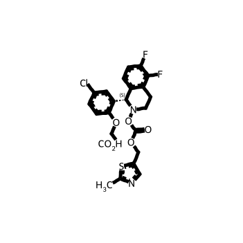 Cc1ncc(COC(=O)ON2CCc3c(ccc(F)c3F)[C@H]2c2cc(Cl)ccc2OCC(=O)O)s1